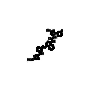 Cc1cccc(-n2nc(C(C)(C)C)cc2NC(=O)Nc2ccc(OCc3ccnc(Nc4cnc(CO)cn4)c3)c3ccccc23)c1